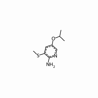 CSc1cc(OC(C)C)cnc1N